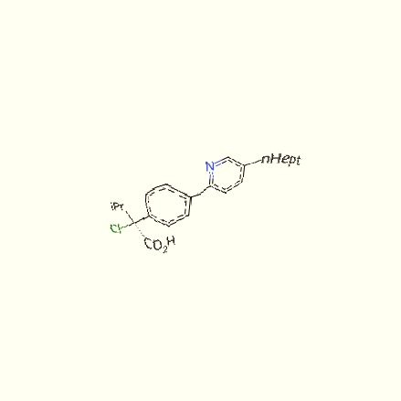 CCCCCCCc1ccc(-c2ccc([C@](Cl)(C(=O)O)C(C)C)cc2)nc1